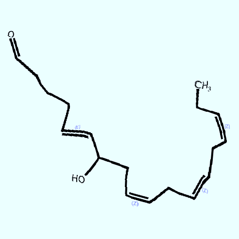 CC/C=C\C/C=C\C/C=C\CC(O)/C=C/CCCC=O